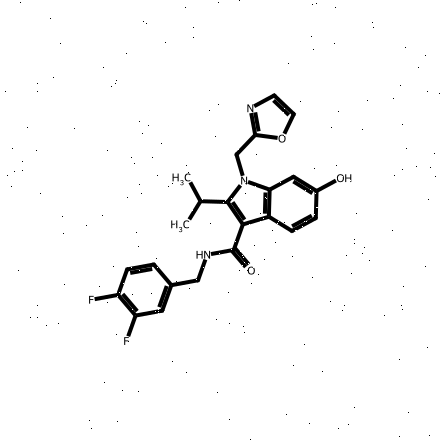 CC(C)c1c(C(=O)NCc2ccc(F)c(F)c2)c2ccc(O)cc2n1Cc1ncco1